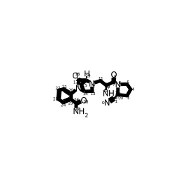 N#C[C@@H]1CCCN1C(=O)[C@@H](N)CN1CC2C[C@H]1C(=O)N2c1ccccc1C(N)=O